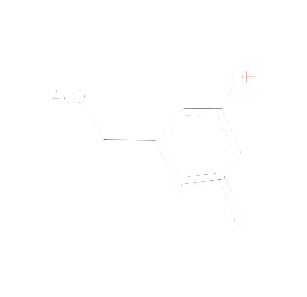 CC(=O)OCc1cc(O)cc(=O)o1